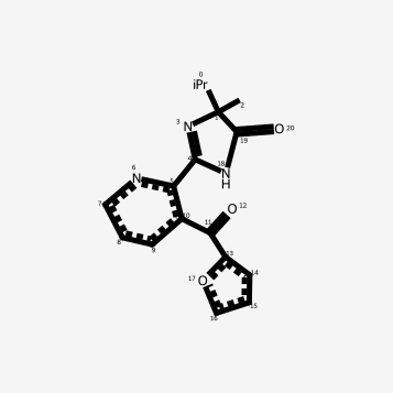 CC(C)C1(C)N=C(c2ncccc2C(=O)c2ccco2)NC1=O